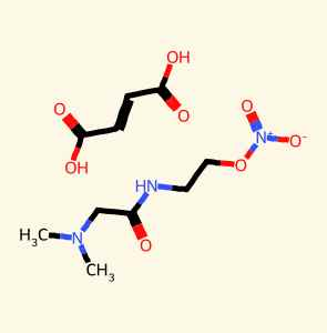 CN(C)CC(=O)NCCO[N+](=O)[O-].O=C(O)C=CC(=O)O